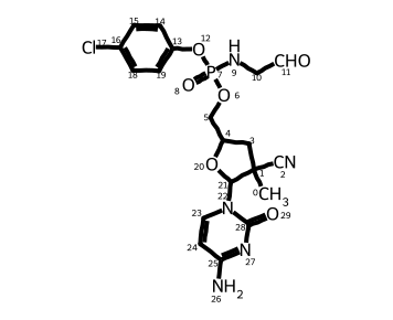 CC1(C#N)CC(COP(=O)(NCC=O)Oc2ccc(Cl)cc2)OC1n1ccc(N)nc1=O